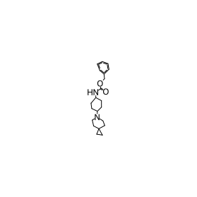 O=C(NC1CCC(N2CCC3(CC2)CC3)CC1)OCc1ccccc1